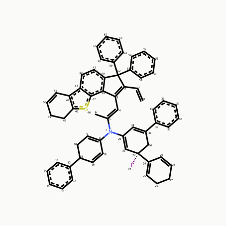 C=CC1=C(/C=C(\C)N(C2=CCC(c3ccccc3)C=C2)C2=C[C@](I)(C3=CCCC=C3)CC(c3ccccc3)=C2)c2c(ccc3c4c(sc23)CCC=C4)C1(c1ccccc1)c1ccccc1